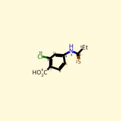 CCC(=S)Nc1ccc(C(=O)O)c(Cl)c1